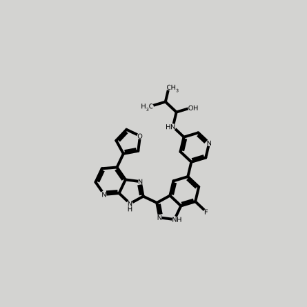 CC(C)C(O)Nc1cncc(-c2cc(F)c3[nH]nc(-c4nc5c(-c6ccoc6)ccnc5[nH]4)c3c2)c1